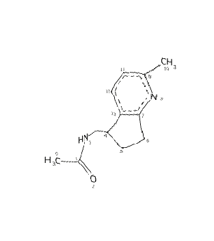 CC(=O)NC1CCc2nc(C)ccc21